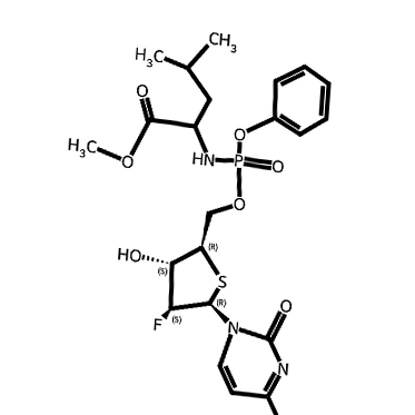 COC(=O)C(CC(C)C)NP(=O)(OC[C@H]1S[C@@H](n2ccc(N)nc2=O)[C@@H](F)[C@@H]1O)Oc1ccccc1